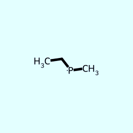 CC[P]C